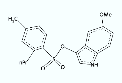 CCCc1cc(C)ccc1S(=O)(=O)Oc1c[nH]c2ccc(OC)cc12